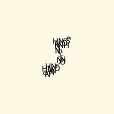 CC(C)(c1ccc(-c2nnc(NC(=O)Cc3cccs3)[nH]2)nc1)c1noc(CCC(=O)Nc2nnc(-c3ccccn3)[nH]2)n1